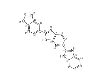 c1ccc2[nH]c(-c3ccc4nc(-c5cnc6ocnc6c5)sc4n3)nc2c1